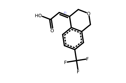 O=C(O)/C=C1/COCc2cc(C(F)(F)F)ccc21